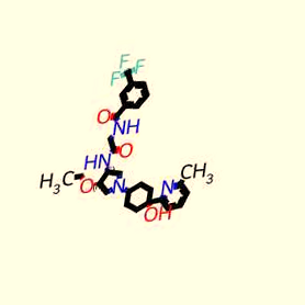 CCO[C@@H]1CN(C2CCC(O)(c3cccc(C)n3)CC2)C[C@@H]1NC(=O)CNC(=O)c1cccc(C(F)(F)F)c1